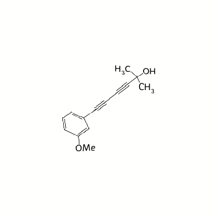 COc1cccc(C#CC#CC(C)(C)O)c1